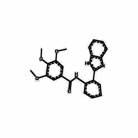 COc1cc(C(=O)Nc2ccccc2-c2nc3ccccc3[nH]2)cc(OC)c1OC